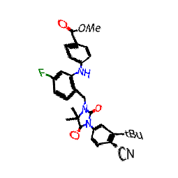 COC(=O)c1ccc(Nc2cc(F)ccc2CN2C(=O)N(c3ccc(C#N)c(C(C)(C)C)c3)C(=O)C2(C)C)cc1